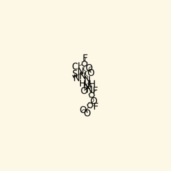 COC(=O)C1=C(CN2CCN3C(=O)N(c4ccc(Oc5ccc(C(=O)OC)cc5F)cc4F)C[C@@H]3C2)NC(c2nccs2)=NC1c1ccc(F)cc1Cl